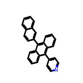 c1ccc2cc(-c3c4ccccc4c(-c4ccncc4)c4ccccc34)ccc2c1